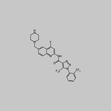 O=C(Nc1cc(F)c2cc(CN3CCNCC3)ccc2n1)c1nnn(-c2ccccc2C(F)(F)F)c1C(F)(F)F